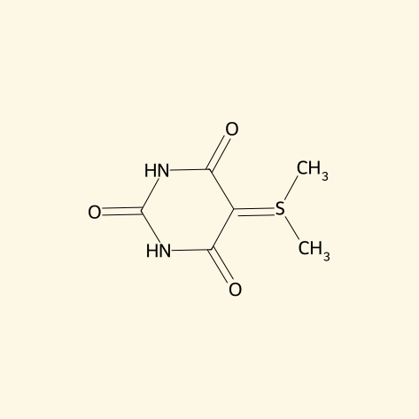 CS(C)=C1C(=O)NC(=O)NC1=O